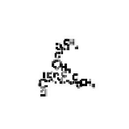 COC(=O)C=CCN(CC(O)c1cccc(Cl)c1)C(C)Cc1ccc(OCC(=O)OC)cc1.Cl